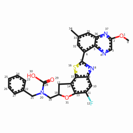 COc1cnc2c(-c3nc4cc(F)c5c(c4s3)CC(CN(Cc3ccccc3)C(=O)O)O5)cc(C)cc2n1